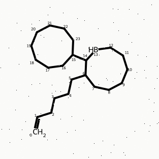 C=CCCCCC1CCCCCCBC1C1CCCCCCCC1